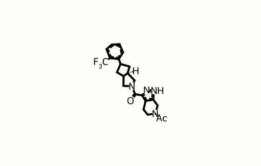 CC(=O)N1CCc2c(C(=O)N3CC4CC(c5ccccc5C(F)(F)F)C[C@H]4C3)n[nH]c2C1